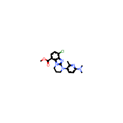 COC(=O)c1ccc(Cl)c2nc3n(c12)CCCN3c1ccc(N(C)C)nc1C